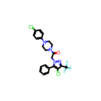 O=C(Cn1nc(C(F)(F)F)c(Cl)c1-c1ccccc1)N1CCN(c2ccc(Cl)cc2)CC1